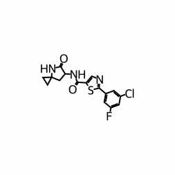 O=C(NC1CC2(CC2)NC1=O)c1cnc(-c2cc(F)cc(Cl)c2)s1